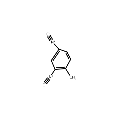 [C-]#[N+]c1ccc(C)c([N+]#[C-])c1